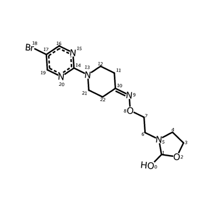 OC1OCCN1CCON=C1CCN(c2ncc(Br)cn2)CC1